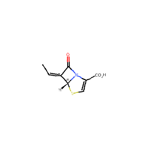 CC=C1C(=O)N2C(C(=O)O)=CS[C@H]12